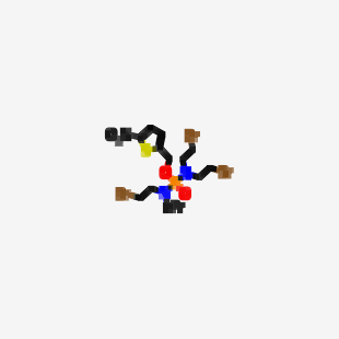 CCCN(CCBr)P(=O)(OCc1ccc([N+](=O)[O-])s1)N(CCBr)CCBr